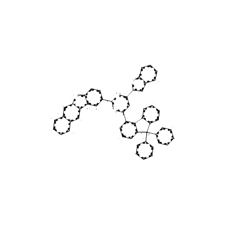 c1ccc(C2(c3ccccc3)c3ccccc3-c3c(-c4cc(-c5cc6ccccc6o5)nc(-c5ccc6oc7cc8ccccc8cc7c6c5)n4)cccc32)cc1